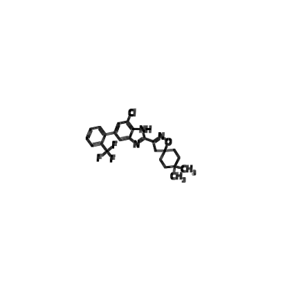 CC1(C)CCC2(CC1)CC(c1nc3cc(-c4ccccc4C(F)(F)F)cc(Cl)c3[nH]1)=NO2